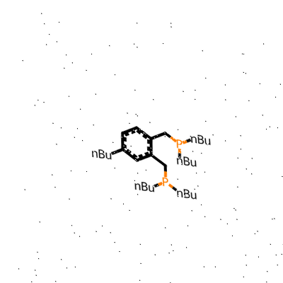 CCCCc1ccc(CP(CCCC)CCCC)c(CP(CCCC)CCCC)c1